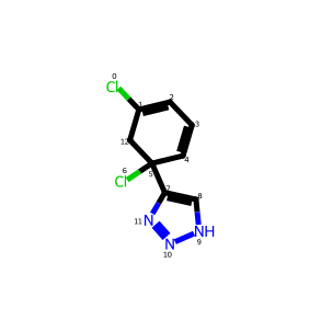 ClC1=CC=CC(Cl)(c2c[nH]nn2)C1